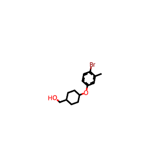 Cc1cc(OC2CCC(CO)CC2)ccc1Br